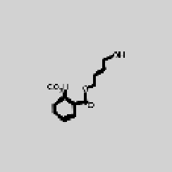 O=C(OCCCCO)C1C=CCCC1C(=O)O